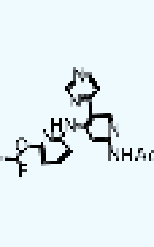 CC(=O)Nc1cc(Nc2cccc(OC(F)F)n2)c(-c2ccncn2)cn1